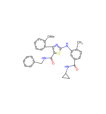 COc1ccccc1-c1nc(Nc2cc(C(=O)NC3CC3)ccc2C)sc1C(=O)NCc1ccccc1